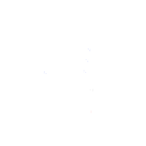 Cc1c(O)ccc(C#N)c1CN=[N+]=[N-]